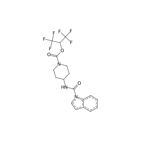 O=C(OC(C(F)(F)F)C(F)(F)F)N1CCC(NC(=O)n2ccc3ccccc32)CC1